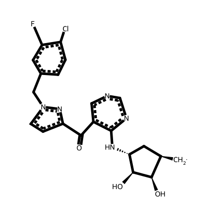 [CH2][C@@H]1C[C@@H](Nc2ncncc2C(=O)c2ccn(Cc3ccc(Cl)c(F)c3)n2)[C@H](O)[C@@H]1O